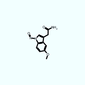 COc1ccc2c(c1)c(CC(N)=O)cn2N=O